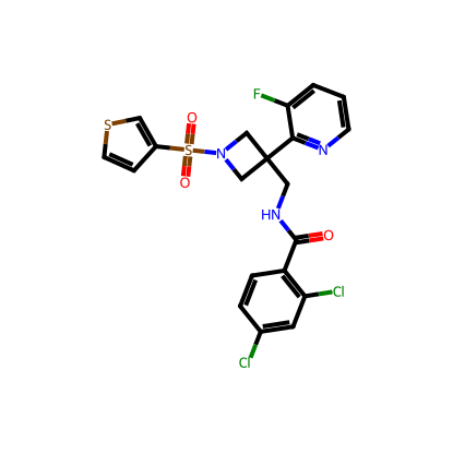 O=C(NCC1(c2ncccc2F)CN(S(=O)(=O)c2ccsc2)C1)c1ccc(Cl)cc1Cl